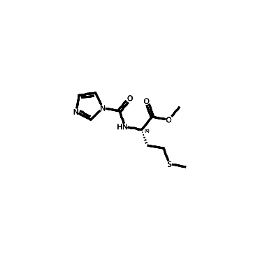 COC(=O)[C@H](CCSC)NC(=O)n1ccnc1